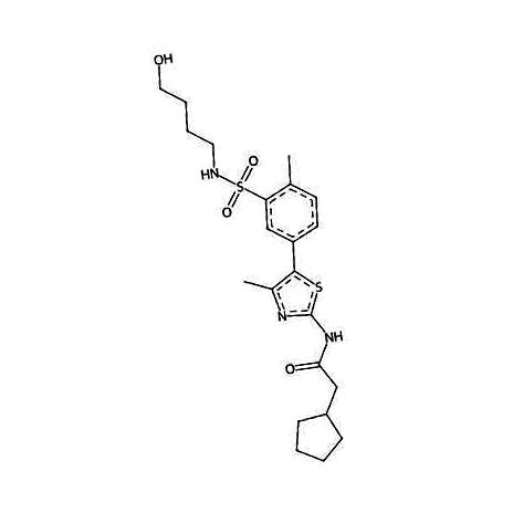 Cc1ccc(-c2sc(NC(=O)CC3CCCC3)nc2C)cc1S(=O)(=O)NCCCCO